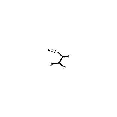 O=C(O)C(F)C(Cl)Cl